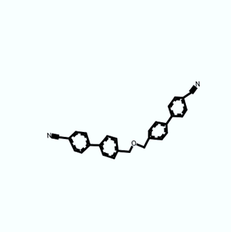 N#Cc1ccc(-c2ccc(COCc3ccc(-c4ccc(C#N)cc4)cc3)cc2)cc1